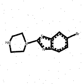 Brc1ccc2nc(N3CCNCC3)sc2c1